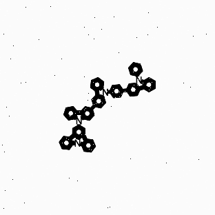 c1ccc(-n2c3ccccc3c3ccc(-c4ccc(-n5c6ccccc6c6cc(-c7ccc8c(c7)c7ccccc7n8-c7cc8c9ccccc9n9c%10ccccc%10c(c7)c89)ccc65)cc4)cc32)cc1